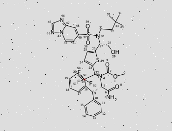 COC(=O)N([C@H](C(N)=O)C(c1ccccc1)c1ccccc1)[C@H](c1ccc([C@@H](CO)N(CCC(C)(C)C)S(=O)(=O)c2ccn3ncnc3c2)s1)C(F)(F)F